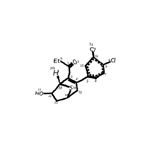 CCC(=O)C1=C(c2ccc(Cl)c(Cl)c2)CC2CC(O)[C@H]1S2